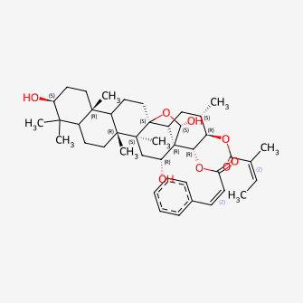 C/C=C(/C)C(=O)O[C@@H]1[C@@H](C)CC2[C@@]3([C@H](O)C[C@]4(C)[C@@]2(CCC2[C@@]5(C)CC[C@H](O)C(C)(C)C5CC[C@]24C)O[C@@H]3O)[C@H]1OC(=O)/C=C\c1ccccc1